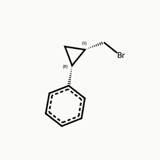 BrC[C@H]1C[C@H]1c1ccccc1